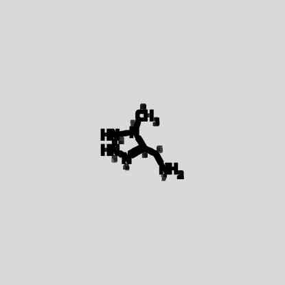 CN1NNN=C1CN